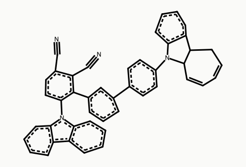 N#Cc1ccc(-n2c3ccccc3c3ccccc32)c(-c2cccc(-c3ccc(N4c5ccccc5C5CC=CC=CC54)cc3)c2)c1C#N